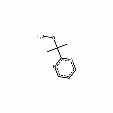 BOC(C)(C)c1ncccn1